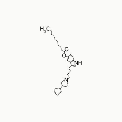 CCCCCCCCCC(=O)Oc1ccc2[nH]cc(CCCCN3CCC(c4ccccc4)CC3)c2c1